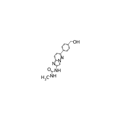 CNC(=O)Nc1cn2nc(-c3ccc(CO)cc3)ccc2n1